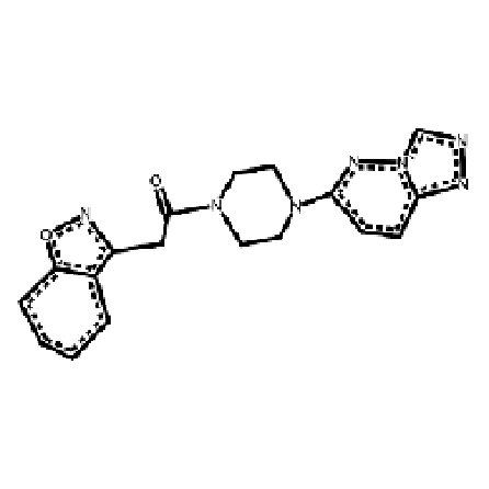 O=C(Cc1noc2ccccc12)N1CCN(c2ccc3nncn3n2)CC1